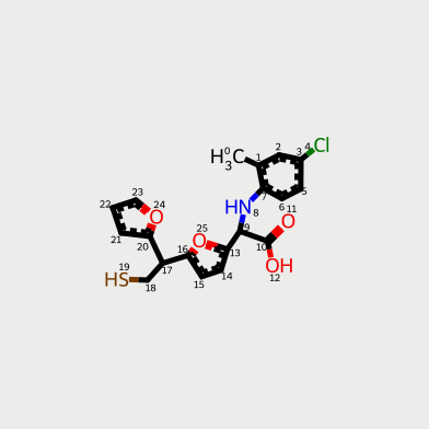 Cc1cc(Cl)ccc1NC(C(=O)O)c1ccc(C(CS)c2ccco2)o1